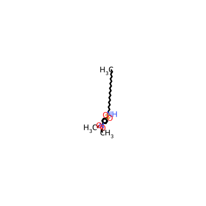 CCCCCCCCCCCCCCCCCCCNS(=O)(=O)c1ccc(N(OCC)OCC)cc1